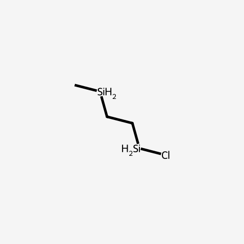 C[SiH2]CC[SiH2]Cl